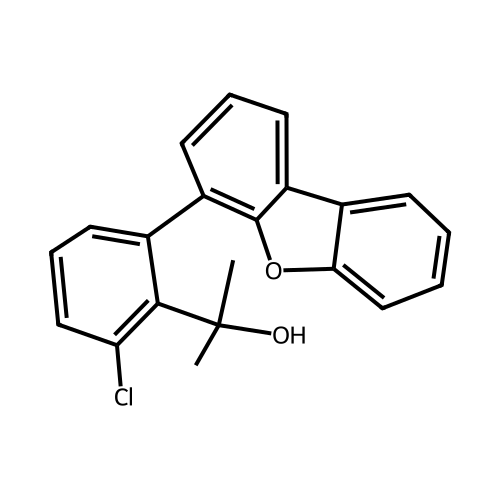 CC(C)(O)c1c(Cl)cccc1-c1cccc2c1oc1ccccc12